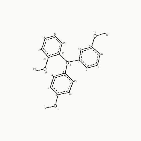 COc1ccc(N(c2cccc(OC)c2)c2ccccc2OC)cc1